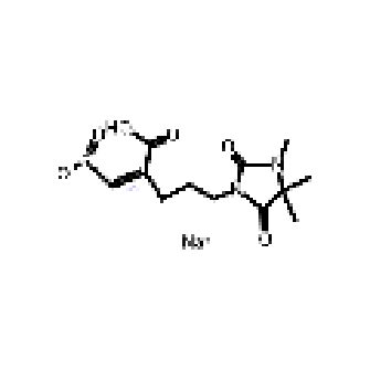 CN1C(=O)N(CCC/C(=C/S(=O)[O-])C(=O)O)C(=O)C1(C)C.[Na+]